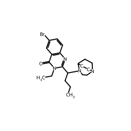 CCCC(c1nc2ccc(Br)cc2c(=O)n1CC)N1CCN2CCC1CC2